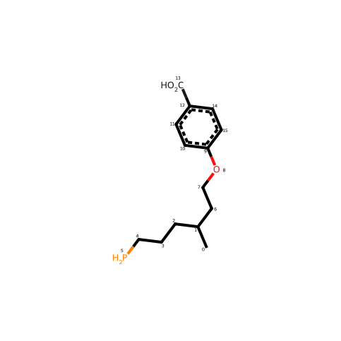 CC(CCCP)CCOc1ccc(C(=O)O)cc1